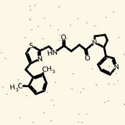 Cc1cccc(C)c1Cc1csc(CNC(=O)CCC(=O)N2CCCC2c2cccnc2)n1